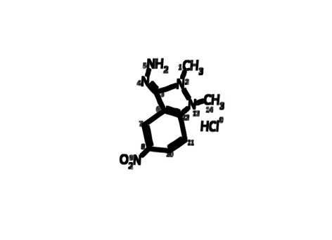 Cl.Cn1c(=NN)c2cc([N+](=O)[O-])ccc2n1C